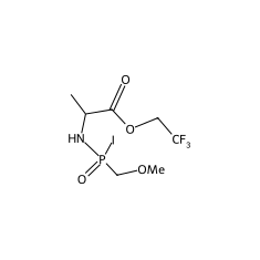 COCP(=O)(I)NC(C)C(=O)OCC(F)(F)F